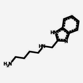 NCCCCNCc1nc2ccccc2[nH]1